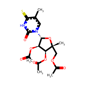 CC(=O)OC[C@@]1(C)O[C@@H](n2cc(C)c(=S)[nH]c2=O)[C@H](OC(C)=O)[C@@H]1OC(C)=O